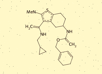 C=C(NC1CCc2sc(NC)c(C(=C)NCC3CC3)c2C1)OCC1=CCCC=C1